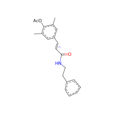 CC(=O)Oc1c(C)cc(/C=C/C(=O)NCCc2ccccc2)cc1C